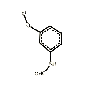 CCOc1cccc(NC=O)c1